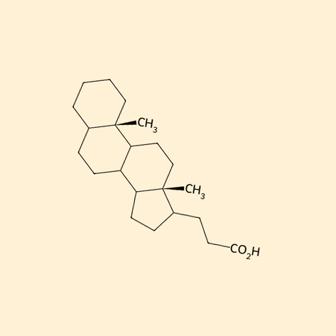 C[C@]12CCCCC1CCC1C2CC[C@]2(C)C(CCC(=O)O)CCC12